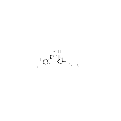 COCCOCc1cccc(Nc2sc(-c3ccc(C(C)(C)O)cc3F)cc2C(N)=O)n1